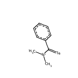 C[N+](C)C(=[Te])c1ccccc1